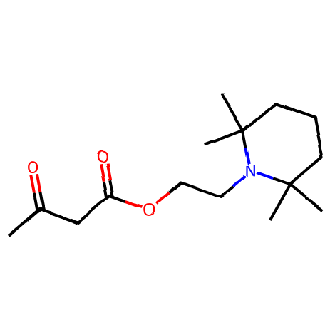 CC(=O)CC(=O)OCCN1C(C)(C)CCCC1(C)C